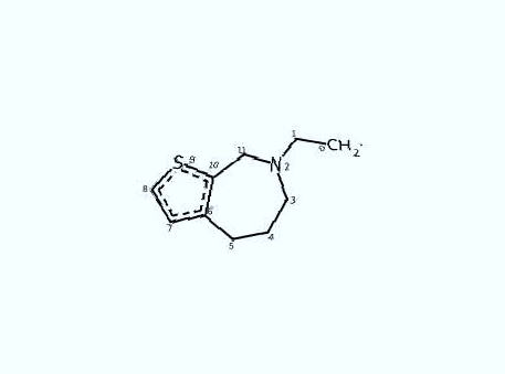 [CH2]CN1CCCc2ccsc2C1